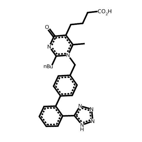 CCCCc1nc(=O)c(CCCC(=O)O)c(C)n1Cc1ccc(-c2ccccc2-c2nnn[nH]2)cc1